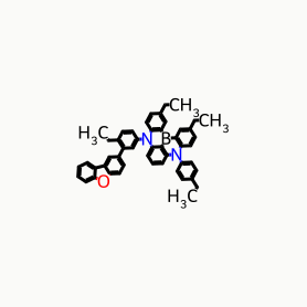 CCc1ccc(N2c3ccc(CC)cc3B3c4cc(CC)ccc4N(c4ccc(CC)c(-c5ccc6oc7ccccc7c6c5)c4)c4cccc2c43)cc1